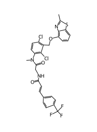 Cc1nc2c(OCc3c(Cl)ccc(N(C)C(=O)CNC(=O)C=Cc4ccc(C(F)(F)F)cc4)c3Cl)cccc2s1